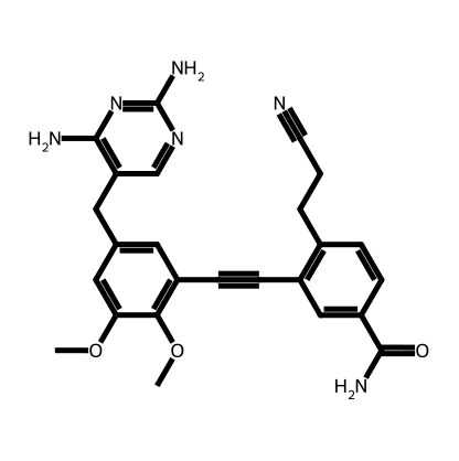 COc1cc(Cc2cnc(N)nc2N)cc(C#Cc2cc(C(N)=O)ccc2CCC#N)c1OC